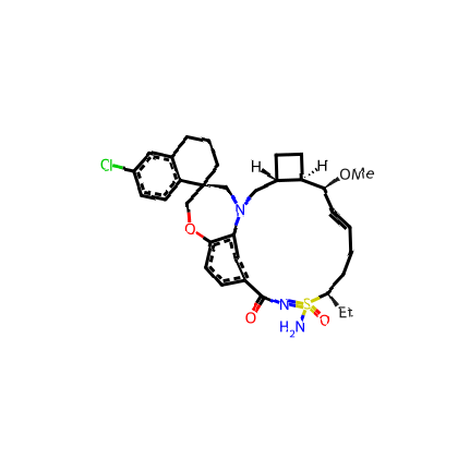 CC[C@@H]1CC/C=C/[C@H](OC)[C@@H]2CC[C@H]2CN2C[C@@]3(CCCc4cc(Cl)ccc43)COc3ccc(cc32)C(=O)N=S1(N)=O